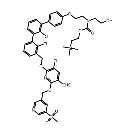 C[Si](C)(C)CCOC(=O)N(CCO)CCOc1ccc(-c2cccc(-c3cccc(COc4nc(OCc5cncc(S(C)(=O)=O)c5)c(C=O)cc4Cl)c3Cl)c2Cl)cc1